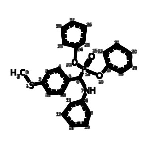 CSc1ccc(C(Nc2ccccc2)P(=O)(Oc2ccccc2)Oc2ccccc2)cc1